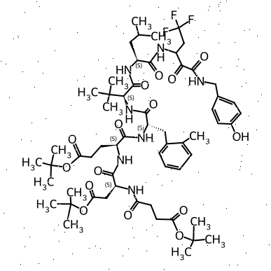 Cc1ccccc1C[C@H](NC(=O)[C@H](CCC(=O)OC(C)(C)C)NC(=O)[C@H](CC(=O)OC(C)(C)C)NC(=O)CCC(=O)OC(C)(C)C)C(=O)N[C@H](C(=O)N[C@@H](CC(C)C)C(=O)NC(CC(F)(F)F)C(=O)C(=O)NCc1ccc(O)cc1)C(C)(C)C